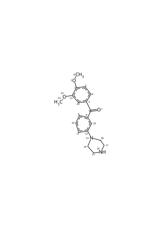 COc1ccc(C(=O)c2cccc(N3CCNCC3)c2)cc1OC